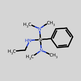 CCN[Si](c1ccccc1)(N(C)C)N(C)C